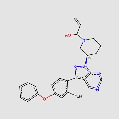 C=CC(O)N1CCC[C@@H](n2nc(-c3ccc(Oc4ccccc4)cc3C#N)c3cncnc32)C1